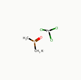 CS(C)=O.[Cl][Pt]([Cl])[Cl].[K]